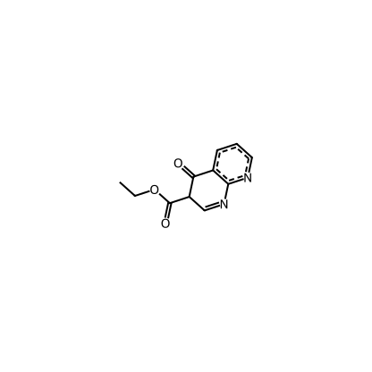 CCOC(=O)C1C=Nc2ncccc2C1=O